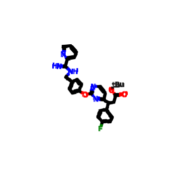 CC(C)(C)OC(=O)CC(c1ccc(F)cc1)c1ccnc(Oc2ccc(CNC(=N)c3ccccn3)cc2)n1